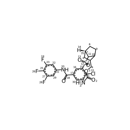 NC(=O)OCC1C[C@@H]2CCC1C2S(=O)(=O)c1cc(C(=O)Nc2cc(F)c(F)c(F)c2)ccc1Cl